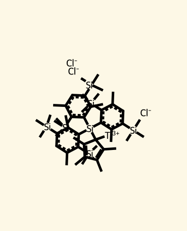 CC1=C(C)[C]([Ti+3])([Si](c2c(C)c([Si](C)(C)C)cc(C)c2[Si](C)(C)C)(c2c(C)c([Si](C)(C)C)cc(C)c2[Si](C)(C)C)c2c(C)c([Si](C)(C)C)cc(C)c2[Si](C)(C)C)C(C)=C1C.[Cl-].[Cl-].[Cl-]